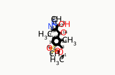 CCOCc1c(S(C)(=O)=O)ccc(C(=O)c2c(C)nn(C)c2O)c1C